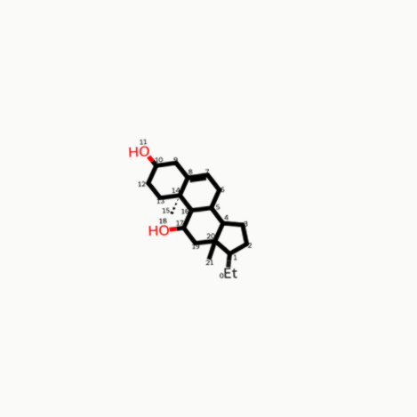 CCC1CCC2C3CC=C4CC(O)CC[C@]4(C)C3C(O)CC12C